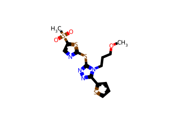 COCCCn1c(Sc2ncc(S(C)(=O)=O)s2)nnc1-c1cccs1